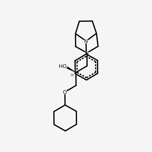 O[C@H](COC1CCCCC1)CN1CC2CCC(C1)N2c1ccccc1